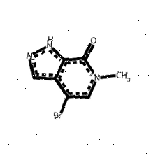 Cn1cc(Br)c2cn[nH]c2c1=O